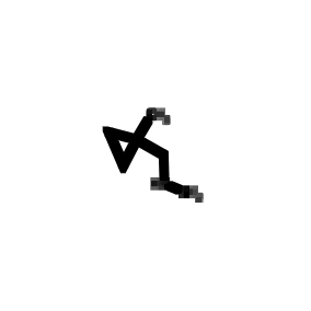 CC1(CNN)CC1